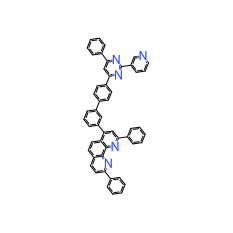 c1ccc(-c2cc(-c3ccc(-c4cccc(-c5cc(-c6ccccc6)nc6c5ccc5ccc(-c7ccccc7)nc56)c4)cc3)nc(-c3cccnc3)n2)cc1